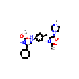 CCC(=O)N[C@H](Cc1ccc(NC[C@@H](NC(=O)OC(C)(C)C)C2CCCCCC2)cc1)C(=O)N1CCN(C)CC1